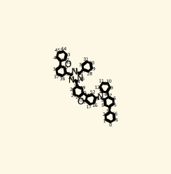 c1ccc(-c2ccc3c4ccccc4n(-c4ccc5oc6ccc(-c7nc(-c8ccccc8)nc(-c8cccc9c8oc8ccccc89)n7)cc6c5c4)c3c2)cc1